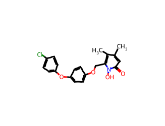 Cc1cc(=O)n(O)c(COc2ccc(Oc3ccc(Cl)cc3)cc2)c1C